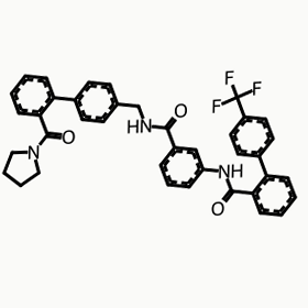 O=C(NCc1ccc(-c2ccccc2C(=O)N2CCCC2)cc1)c1cccc(NC(=O)c2ccccc2-c2ccc(C(F)(F)F)cc2)c1